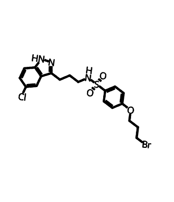 O=S(=O)(NCCCc1n[nH]c2ccc(Cl)cc12)c1ccc(OCCCBr)cc1